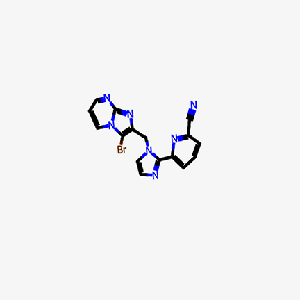 N#Cc1cccc(-c2nccn2Cc2nc3ncccn3c2Br)n1